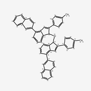 Cc1ccc(C2=Cc3c(-c4ccc5ccccc5c4)cccc3[CH]2[Zr][CH]2C(c3ccc(C)cn3)=Cc3c(-c4ccc5ccccc5c4)cccc32)nc1